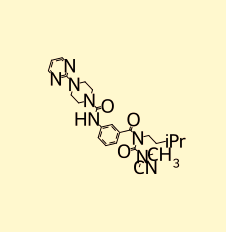 CC(C)CCN(C(=O)c1cccc(NC(=O)N2CCN(c3ncccn3)CC2)c1)C(=O)N(C)C#N